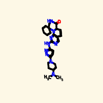 CN(C)C1CCN(c2ccc(Nc3ncc4c(n3)N3C(C=C4)C(=O)NCC34CCCCC4)nn2)CC1